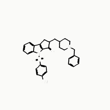 Cc1ccc(S(=O)(=O)n2c3c(c4ccccc42)CC(CC2CCN(Cc4ccccc4)CC2)C3=O)cc1